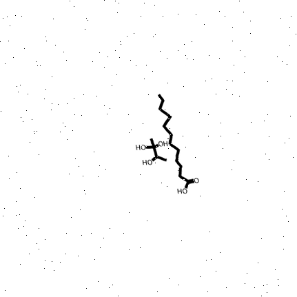 CC(O)C(C)(O)O.CCCCCCCCCCCC(=O)O